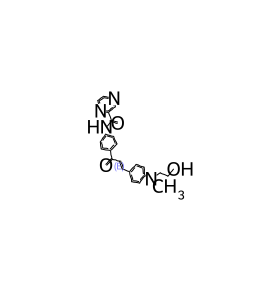 CN(CCO)c1ccc(/C=C/C(=O)c2ccc(NC(=O)c3cnccn3)cc2)cc1